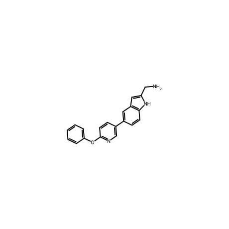 NCc1cc2cc(-c3ccc(Oc4ccccc4)nc3)ccc2[nH]1